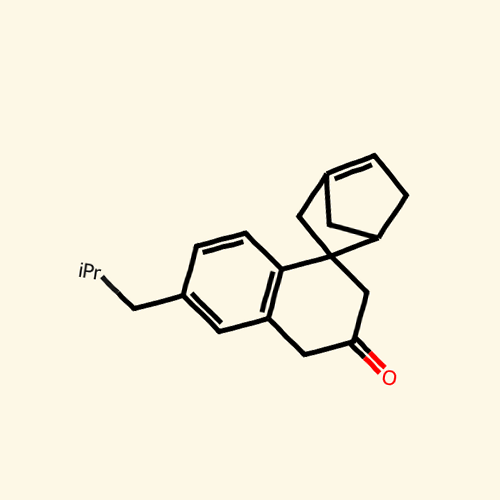 CC(C)Cc1ccc2c(c1)CC(=O)CC21CC2=CCC1C2